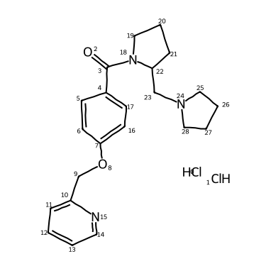 Cl.Cl.O=C(c1ccc(OCc2ccccn2)cc1)N1CCCC1CN1CCCC1